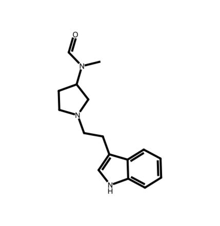 CN(C=O)C1CCN(CCc2c[nH]c3ccccc23)C1